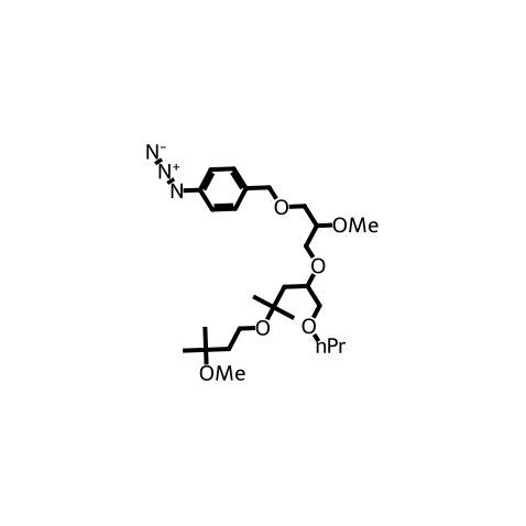 CCCOCC(CC(C)(C)OCCC(C)(C)OC)OCC(COCc1ccc(N=[N+]=[N-])cc1)OC